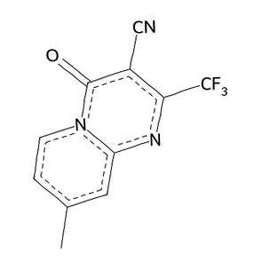 Cc1ccn2c(=O)c(C#N)c(C(F)(F)F)nc2c1